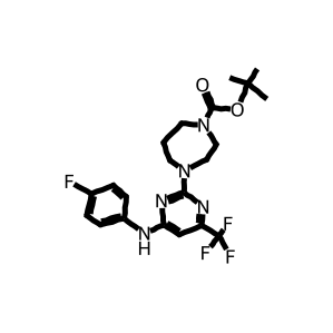 CC(C)(C)OC(=O)N1CCCN(c2nc(Nc3ccc(F)cc3)cc(C(F)(F)F)n2)CC1